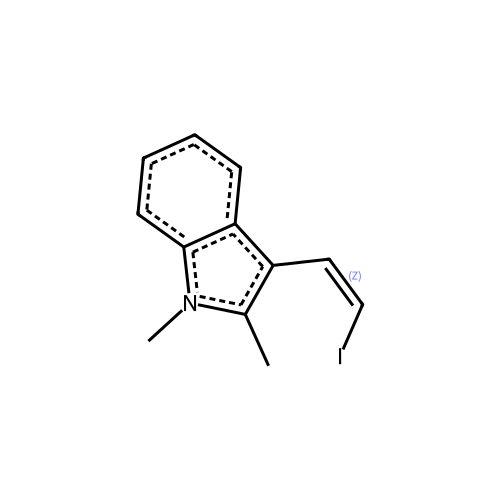 Cc1c(/C=C\I)c2ccccc2n1C